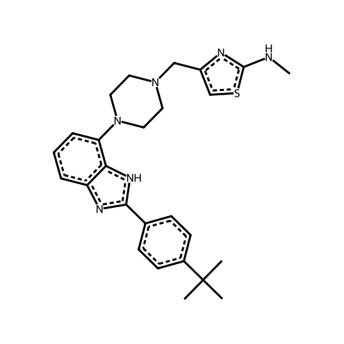 CNc1nc(CN2CCN(c3cccc4nc(-c5ccc(C(C)(C)C)cc5)[nH]c34)CC2)cs1